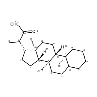 CC(C(=O)C=O)[C@H]1CC[C@H]2[C@@H]3CCC4CCCC[C@]4(C)[C@H]3CC[C@]12C